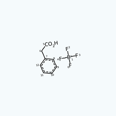 F[B-](F)(F)F.O=C(O)Cc1ccccc1